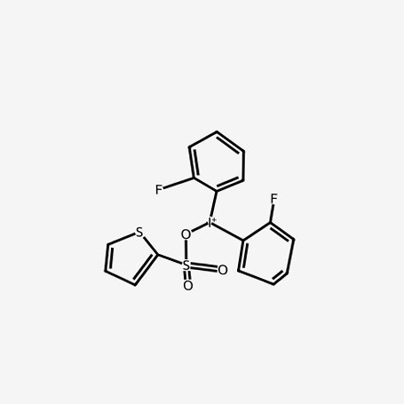 O=S(=O)(O[I+](c1ccccc1F)c1ccccc1F)c1cccs1